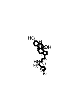 CC[C@@H](NC(=O)C[C@@H](C)C1CC[C@H]2[C@@H]3[C@H](O)C[C@@H]4C[C@@H](O)CC[C@]4(C)[C@H]3CC[C@]12C)c1ccc(Br)s1